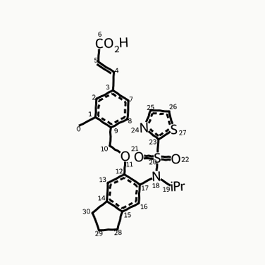 Cc1cc(/C=C/C(=O)O)ccc1COc1cc2c(cc1N(C(C)C)S(=O)(=O)c1nccs1)CCC2